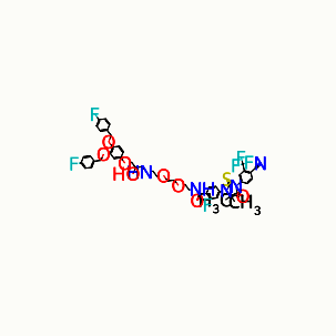 CC1(C)C(=O)N(c2ccc(C#N)c(C(F)(F)F)c2)C(=S)N1c1ccc(C(=O)NCCOCCOCCNC[C@@H](O)COc2ccc(OCc3ccc(F)cc3)c(OCc3ccc(F)cc3)c2)c(F)c1